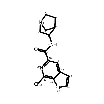 O=C(NC1CN2CCC1C2)c1cc2ccoc2c(Cl)n1